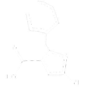 O=C(O)c1cc(Cl)sc1-c1ccccc1